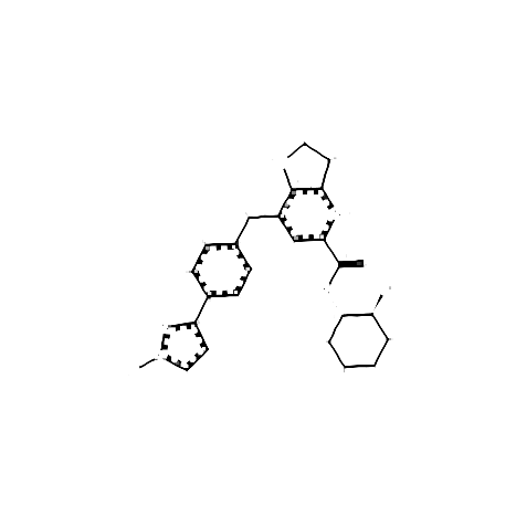 Cn1ccc(-c2ccc(Cc3cc(C(=O)N[C@H]4CCCC[C@@H]4O)nc4c3OCC4)cc2)n1